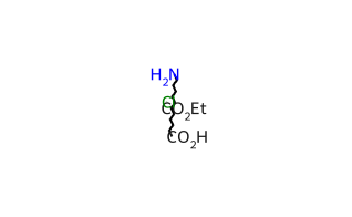 CCOC(=O)Cl.NCCCCCCCCCCC(=O)O